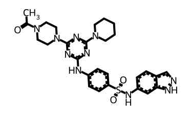 CC(=O)N1CCN(c2nc(Nc3ccc(S(=O)(=O)Nc4ccc5cn[nH]c5c4)cc3)nc(N3CCCCC3)n2)CC1